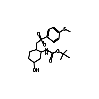 CSc1ccc(S(=O)(=O)CC2CCC(O)CC2NC(=O)OC(C)(C)C)cc1